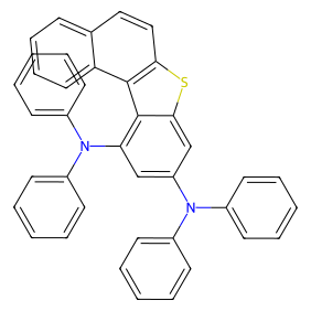 c1ccc(N(c2ccccc2)c2cc(N(c3ccccc3)c3ccccc3)c3c(c2)sc2ccc4ccccc4c23)cc1